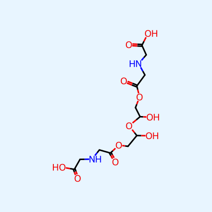 O=C(O)CNCC(=O)OCC(O)OC(O)COC(=O)CNCC(=O)O